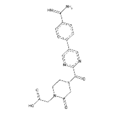 N=C(N)c1ccc(-c2cnc(C(=O)N3CCN(CC(=O)O)C(=O)C3)nc2)cc1